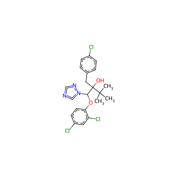 CC(C)(C)C(O)(Cc1ccc(Cl)cc1)C(Oc1ccc(Cl)cc1Cl)n1cncn1